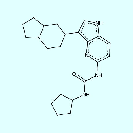 O=C(Nc1ccc2[nH]cc(C3CCN4CCCC4C3)c2n1)NC1CCCC1